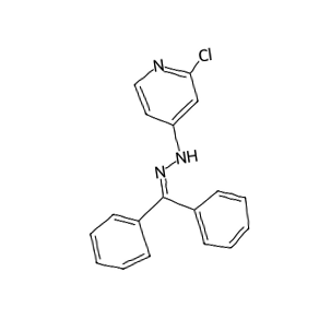 Clc1cc(NN=C(c2ccccc2)c2ccccc2)ccn1